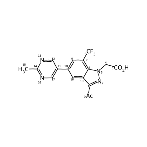 CC(=O)c1nn(CC(=O)O)c2c(C(F)(F)F)cc(-c3cnc(C)nc3)cc12